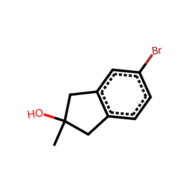 CC1(O)Cc2ccc(Br)cc2C1